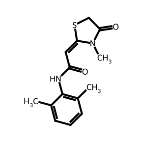 Cc1cccc(C)c1NC(=O)C=C1SCC(=O)N1C